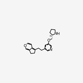 C1=CC2=C(CCc3cncc(OC[C@@H]4CCCN4)c3)CCC2=CO1